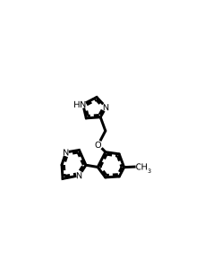 Cc1ccc(-c2cnccn2)c(OCc2c[nH]cn2)c1